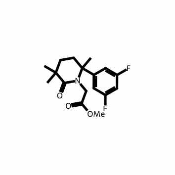 COC(=O)CN1C(=O)C(C)(C)CCC1(C)c1cc(F)cc(F)c1